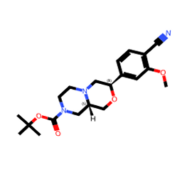 COc1cc([C@@H]2CN3CCN(C(=O)OC(C)(C)C)C[C@H]3CO2)ccc1C#N